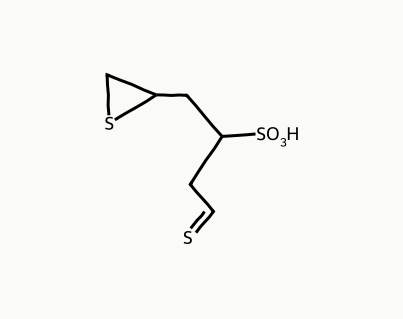 O=S(=O)(O)C(CC=S)CC1CS1